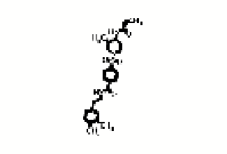 C=CC(=O)NC1CCN(S(=O)(=O)c2ccc(C(=O)NCCc3ccc(C)c(C)c3)cc2)CC1C